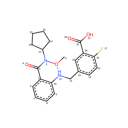 CON(C(=O)c1ccccc1NCc1ccc(F)c(C(=O)O)c1)C1CCCC1